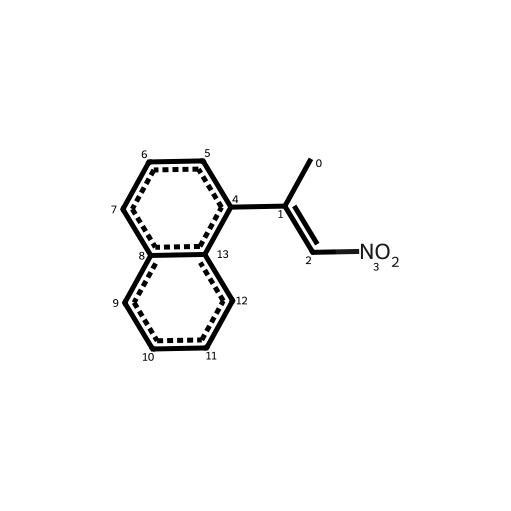 CC(=C[N+](=O)[O-])c1cccc2ccccc12